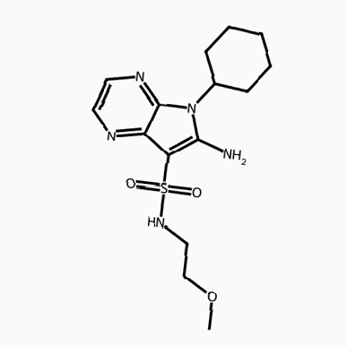 COCCNS(=O)(=O)c1c(N)n(C2CCCCC2)c2nccnc12